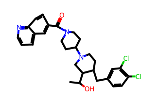 CC(O)C1CN(C2CCN(C(=O)c3ccc4ncccc4c3)CC2)CCC1Cc1ccc(Cl)c(Cl)c1